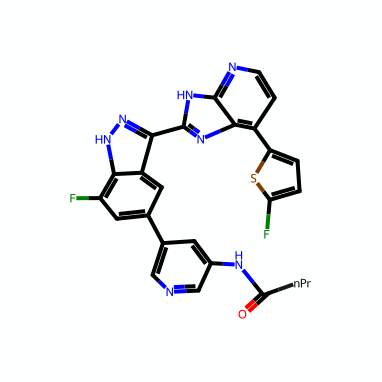 CCCC(=O)Nc1cncc(-c2cc(F)c3[nH]nc(-c4nc5c(-c6ccc(F)s6)ccnc5[nH]4)c3c2)c1